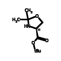 CC(C)(C)OC(=O)[C@@H]1COC(C)(C)N1